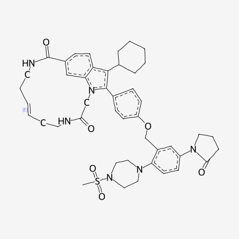 CS(=O)(=O)N1CCN(c2ccc(N3CCCC3=O)cc2COc2ccc(-c3c(C4CCCCC4)c4ccc5cc4n3CC(=O)NCC/C=C/CCNC5=O)cc2)CC1